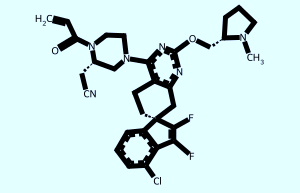 C=CC(=O)N1CCN(c2nc(OC[C@@H]3CCCN3C)nc3c2CC[C@]2(C3)C(F)=C(F)c3c(Cl)cccc32)C[C@@H]1CC#N